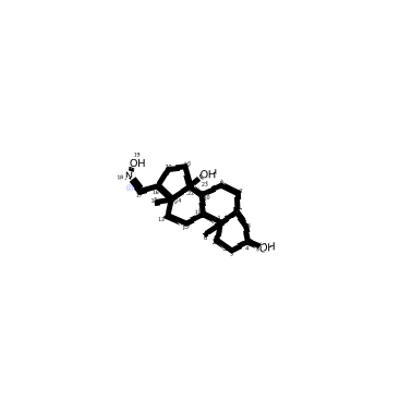 CC12CCC(O)CC1CCC1C2CCC2(C)C(/C=N\O)CCC12O